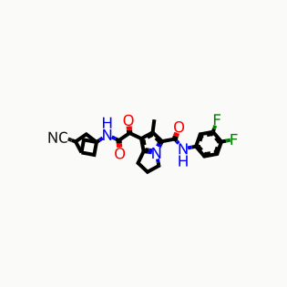 Cc1c(C(=O)C(=O)NC23CC(C#N)C(C2)C3)c2n(c1C(=O)Nc1ccc(F)c(F)c1)CCC2